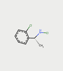 C[C@@H](NCl)c1ccccc1Cl